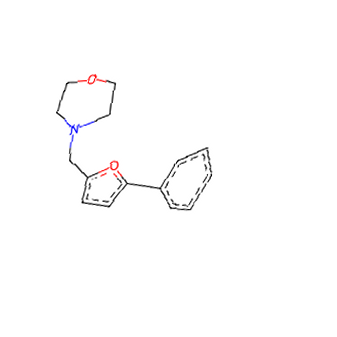 c1ccc(-c2ccc(CN3CCOCC3)o2)cc1